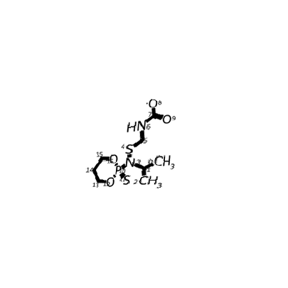 CC(C)N(SCNC([O])=O)P1(=S)OCCCO1